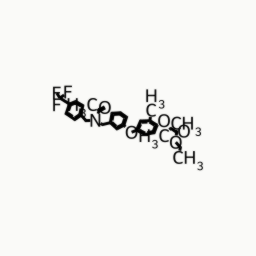 CCOC(=O)C(C)(C)Oc1ccc(Oc2cccc(CN(Cc3ccc(C(F)(F)F)cc3)C(C)=O)c2)cc1C